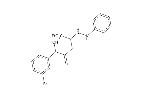 C=C(CC(NNc1ccccc1)C(=O)OCC)C(O)c1cccc(Br)c1